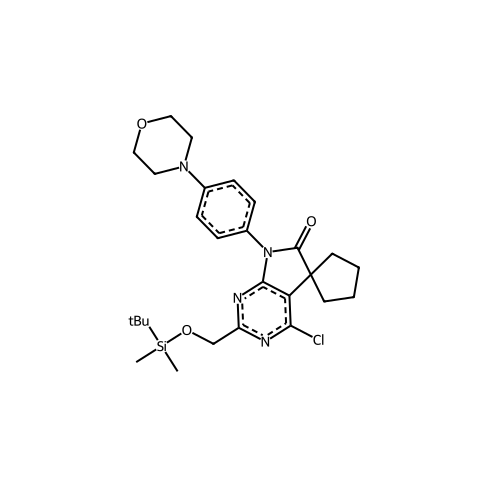 CC(C)(C)[Si](C)(C)OCc1nc(Cl)c2c(n1)N(c1ccc(N3CCOCC3)cc1)C(=O)C21CCCC1